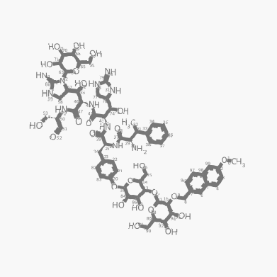 COc1ccc2cc(COC3C(OC4C(CO)OC(Oc5ccc(C[C@H](NC(=O)[C@@H](N)C(C)c6ccccc6)C(=O)N[C@H](C(=O)N[C@H](C(=O)N[C@H]([C]=O)CO)C(O)C6CNC(=N)N6C6OC(CO)C(O)C(O)C6O)C(O)C6CNC(=N)N6)cc5)C(O)C4O)OC(CO)C(O)C3O)ccc2c1